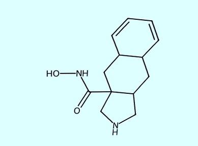 O=C(NO)C12CNCC1CC1C=CC=CC1C2